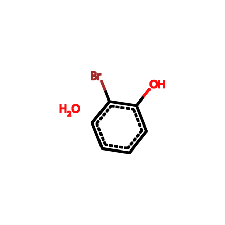 O.Oc1ccccc1Br